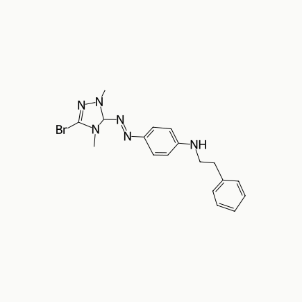 CN1N=C(Br)N(C)C1N=Nc1ccc(NCCc2ccccc2)cc1